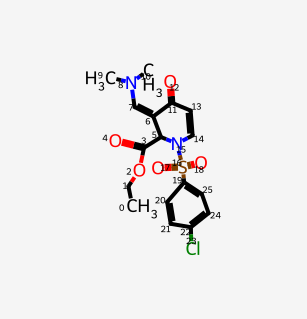 CCOC(=O)C1/C(=C/N(C)C)C(=O)C=CN1S(=O)(=O)c1ccc(Cl)cc1